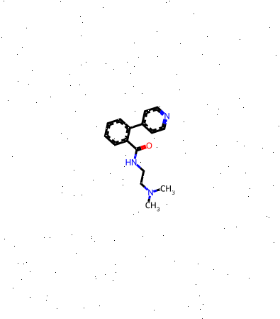 CN(C)CCNC(=O)c1ccccc1-c1ccncc1